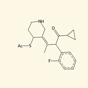 CC(=O)SC1CCNCC1=C(C)C(C(=O)C1CC1)c1ccccc1F